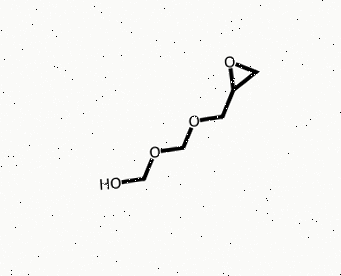 OCOCOCC1CO1